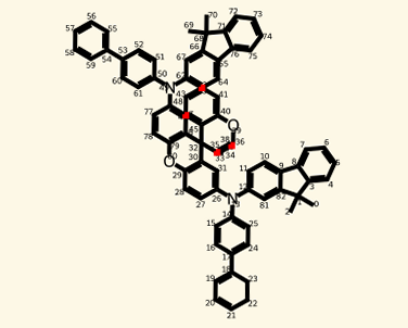 CC1(C)c2ccccc2-c2ccc(N(c3ccc(C4=CC=CCC4)cc3)c3ccc4c(c3)C3(c5ccccc5Oc5ccccc53)c3cc(N(c5ccc(-c6ccccc6)cc5)c5ccc6c(c5)C(C)(C)c5ccccc5-6)ccc3O4)cc21